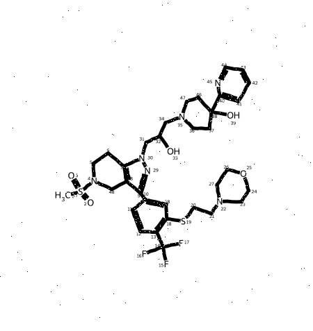 CS(=O)(=O)N1CCc2c(c(-c3ccc(C(F)(F)F)c(SCCN4CCOCC4)c3)nn2CC(O)CN2CCC(O)(c3ccccn3)CC2)C1